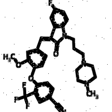 COc1cc(C=C2C(=O)N(CCCN3CCN(C)CC3)c3ccc(F)cc32)ccc1Oc1ccc(C#N)cc1C(F)(F)F